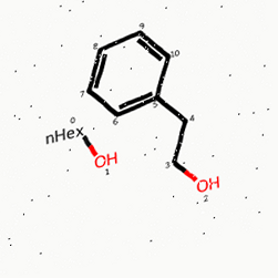 CCCCCCO.OCCc1ccccc1